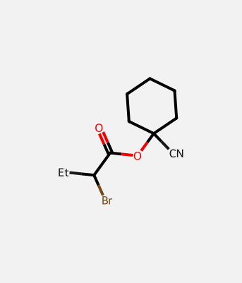 CCC(Br)C(=O)OC1(C#N)CCCCC1